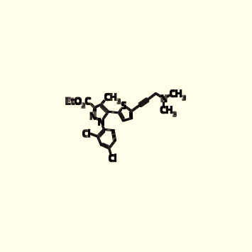 CCOC(=O)c1nn(-c2ccc(Cl)cc2Cl)c(-c2ccc(C#CCN(C)C)s2)c1C